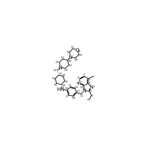 CCc1nc2c(C)ccnc2n1Cc1ccc(N[C@H]2CC[C@@H](CN3CCC(N4CCOCC4)CC3)CC2)cc1